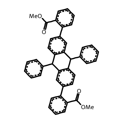 COC(=O)c1ccccc1-c1ccc2c(c1)C(c1ccccc1)c1ccc(-c3ccccc3C(=O)OC)cc1C2c1ccccc1